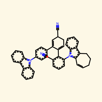 N#Cc1cccc(-n2c3c(c4ccccc42)CCCC=C3)c1C1=CCC(C#N)C=C1c1ccc(-n2c3ccccc3c3ccccc32)cc1